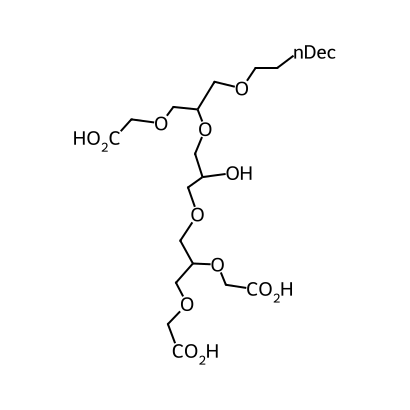 CCCCCCCCCCCCOCC(COCC(=O)O)OCC(O)COCC(COCC(=O)O)OCC(=O)O